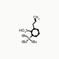 C=CCc1cccc([Si](C(C)(C)C)(C(C)(C)C)C(C)(C)C)c1S(=O)(=O)O